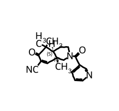 CC1(C)C(=O)C(C#N)=C[C@@]2(C)CN(C(=O)c3cccnc3)CC[C@H]12